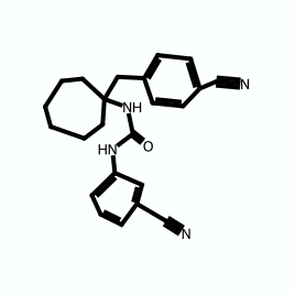 N#Cc1ccc(CC2(NC(=O)Nc3cccc(C#N)c3)CCCCCC2)cc1